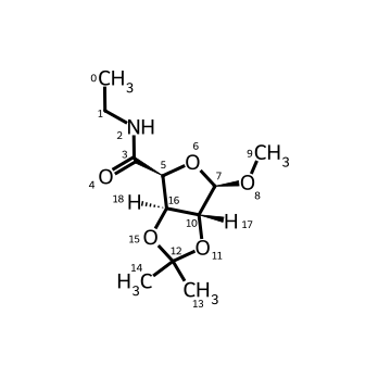 CCNC(=O)[C@H]1O[C@@H](OC)[C@@H]2OC(C)(C)O[C@H]21